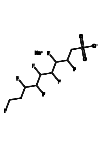 O=S(=O)([O-])CC(F)C(F)C(F)C(F)C(F)C(F)CCF.[Na+]